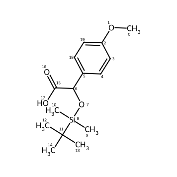 COc1ccc(C(O[Si](C)(C)C(C)(C)C)C(=O)O)cc1